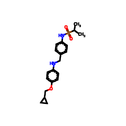 CC(C)S(=O)(=O)Nc1ccc(CNc2ccc(OCC3CC3)cc2)cc1